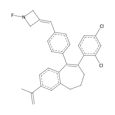 C=C(C)c1ccc2c(c1)CCCC(c1ccc(Cl)cc1Cl)=C2c1ccc(C=C2CN(F)C2)cc1